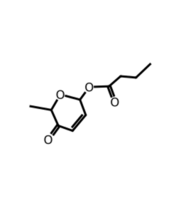 CCCC(=O)OC1C=CC(=O)C(C)O1